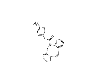 Cc1ccc(CC(=O)N2Cc3ccccc3C#Cc3ccccc32)cc1